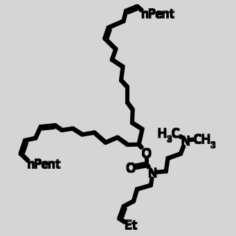 CC/C=C\CCCN(CCCN(C)C)C(=O)OC(CCCCCCC/C=C\C/C=C\CCCCC)CCCCCCCCC/C=C\C/C=C\CCCCC